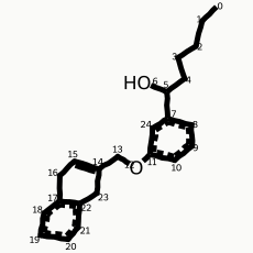 CCCCCC(O)c1cccc(OCC2=CCc3ccccc3C2)c1